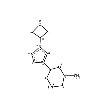 CC1CNCC(c2cnn(C3COC3)c2)O1